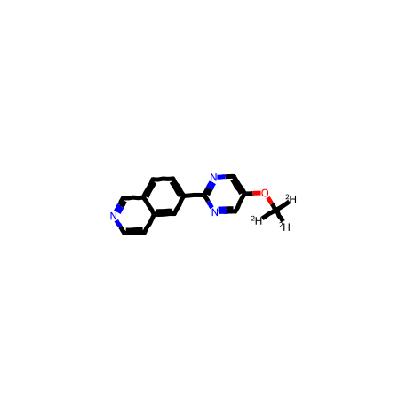 [2H]C([2H])([2H])Oc1cnc(-c2ccc3cnccc3c2)nc1